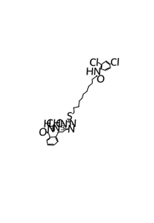 Cn1c(Cc2nn(C)c(=O)c3ccccc23)nnc1SCCCCCCCCCCC(=O)Nc1ccc(Cl)cc1Cl